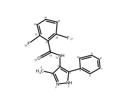 Cc1n[nH]c(-c2ccccc2)c1NC(=O)c1c(F)cccc1F